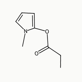 CCC(=O)Oc1cccn1C